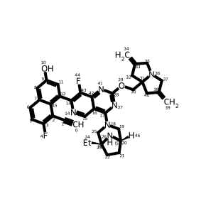 C#Cc1c(F)ccc2cc(O)cc(-c3ncc4c(N5C[C@@H]6CC[C@](CC)(C5)N6)nc(OCC56CC(=C)CN5CC(=C)C6)nc4c3F)c12